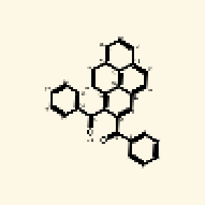 O=C(c1ccccc1)c1cc2ccc3cccc4ccc(c1C(=O)c1ccccc1)c2c34